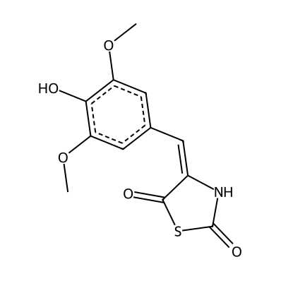 COc1cc(C=C2NC(=O)SC2=O)cc(OC)c1O